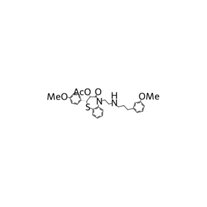 COc1ccc([C@H]2Sc3ccccc3N(CCNCCCc3cccc(OC)c3)C(=O)[C@H]2OC(C)=O)cc1